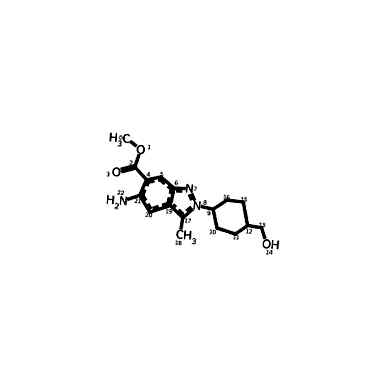 COC(=O)c1cc2nn(C3CCC(CO)CC3)c(C)c2cc1N